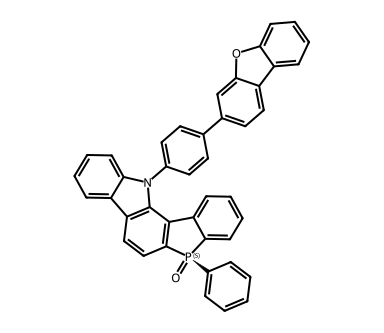 O=[P@@]1(c2ccccc2)c2ccccc2-c2c1ccc1c3ccccc3n(-c3ccc(-c4ccc5c(c4)oc4ccccc45)cc3)c21